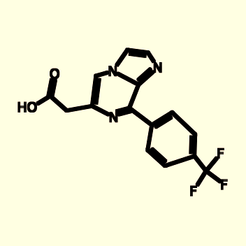 O=C(O)Cc1cn2ccnc2c(-c2ccc(C(F)(F)F)cc2)n1